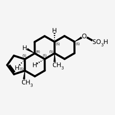 C[C@]12CC[C@H](OS(=O)(=O)O)C[C@@H]1CC[C@@H]1[C@@H]2CC[C@]2(C)C=CC[C@@H]12